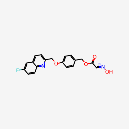 O=C(/C=N/O)OCc1ccc(OCc2ccc3cc(F)ccc3n2)cc1